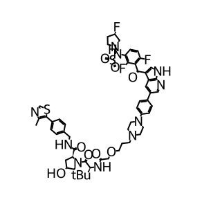 Cc1ncsc1-c1ccc(CNC(=O)[C@@H]2C[C@@H](O)CN2C(=O)[C@@H](NC(=O)COCCCN2CCN(c3ccc(-c4cnc5[nH]cc(C(=O)c6c(F)ccc(N(N7CC[C@@H](F)C7)[SH](=O)=O)c6F)c5c4)cc3)CC2)C(C)(C)C)cc1